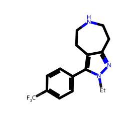 CCn1nc2c(c1-c1ccc(C(F)(F)F)cc1)CCNCC2